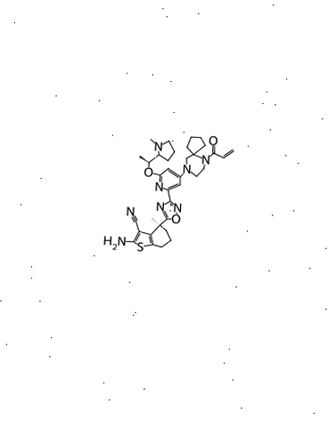 C=CC(=O)N1CCN(c2cc(O[C@@H](C)C3CCCN3C)nc(-c3noc([C@@]4(C)CCCc5sc(N)c(C#N)c54)n3)c2)CC12CCCC2